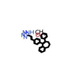 COc1cccc(C2=C(c3ccc(C=Cc4nnn[nH]4)cc3)c3ccccc3CCC2)c1